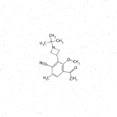 COc1c(C(C)=O)cc(C)c(C#N)c1C1CN(C(C)(C)C)C1